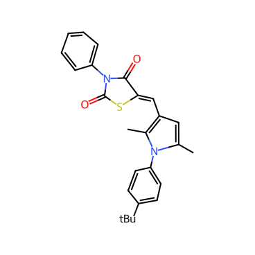 Cc1cc(C=C2SC(=O)N(c3ccccc3)C2=O)c(C)n1-c1ccc(C(C)(C)C)cc1